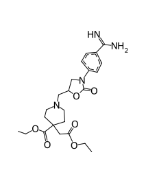 CCOC(=O)CC1(C(=O)OCC)CCN(CC2CN(c3ccc(C(=N)N)cc3)C(=O)O2)CC1